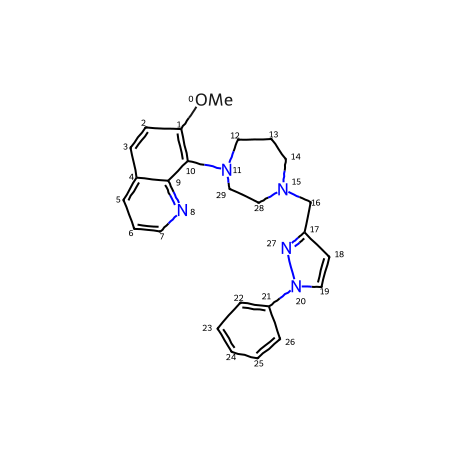 COc1ccc2cccnc2c1N1CCCN(Cc2ccn(-c3ccccc3)n2)CC1